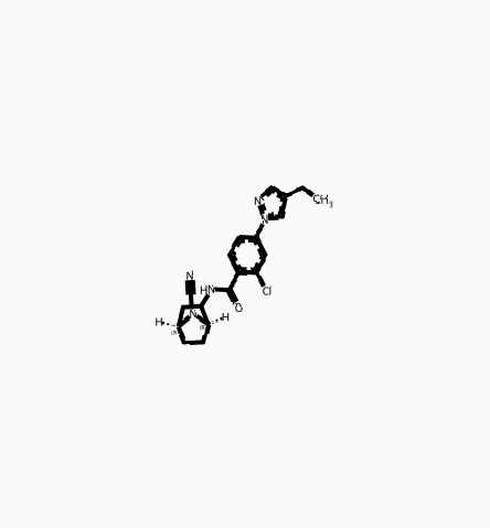 CCc1cnn(-c2ccc(C(=O)NC3C[C@@H]4CC[C@H]3N4C#N)c(Cl)c2)c1